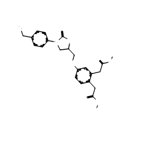 COC(=O)Cc1ccc(OCC2CN(c3ccc(CN)cc3)C(=O)O2)cc1CC(=O)OC